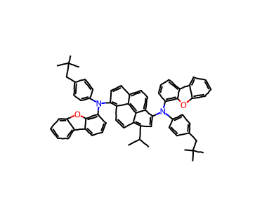 CC(C)c1cc(N(c2ccc(CC(C)(C)C)cc2)c2cccc3c2oc2ccccc23)c2ccc3ccc(N(c4ccc(CC(C)(C)C)cc4)c4cccc5c4oc4ccccc45)c4ccc1c2c34